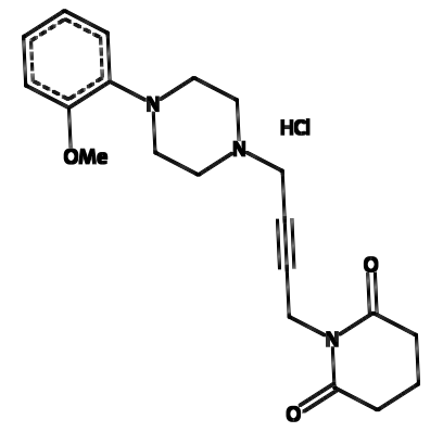 COc1ccccc1N1CCN(CC#CCN2C(=O)CCCC2=O)CC1.Cl